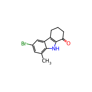 Cc1cc(Br)cc2c3c([nH]c12)C(=O)CCC3